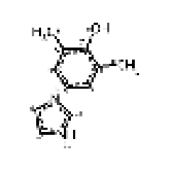 Cc1cccc(C)c1O.c1c[nH]cn1